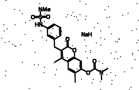 CNS(=O)(=O)Nc1cccc(Cc2c(C)c3cc(I)c(OC(=O)N(C)C)cc3oc2=O)c1.[NaH]